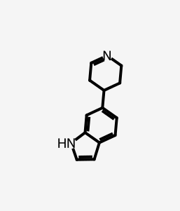 C1=NCCC(c2ccc3cc[nH]c3c2)C1